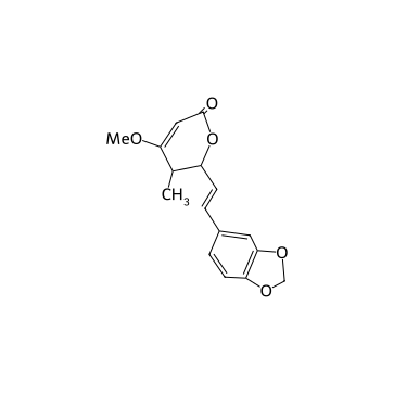 COC1=CC(=O)OC(C=Cc2ccc3c(c2)OCO3)C1C